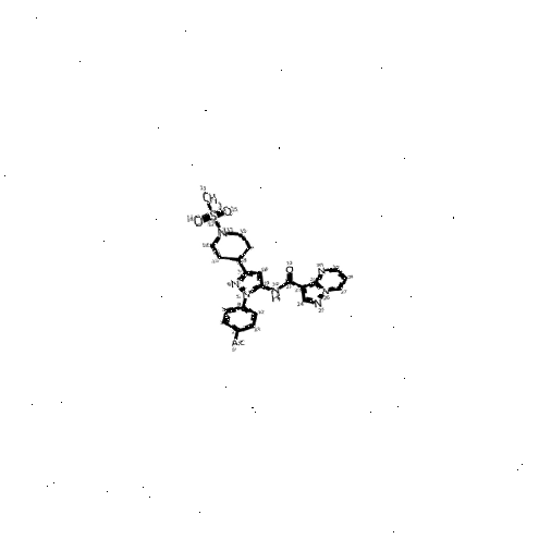 CC(=O)c1ccc(-n2nc(C3CCN(S(C)(=O)=O)CC3)cc2NC(=O)c2cnn3cccnc23)cc1